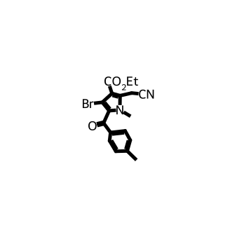 CCOC(=O)c1c(Br)c(C(=O)c2ccc(C)cc2)n(C)c1CC#N